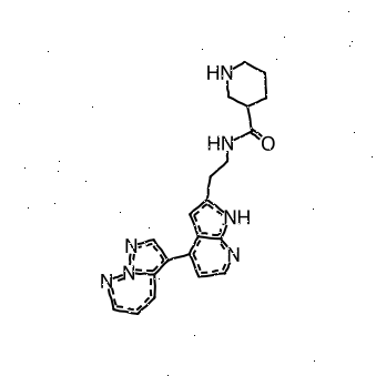 O=C(NCCc1cc2c(-c3cnn4ncccc34)ccnc2[nH]1)C1CCCNC1